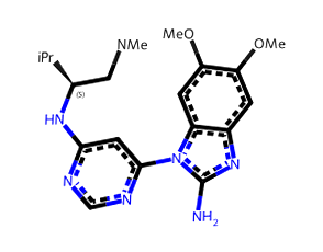 CNC[C@@H](Nc1cc(-n2c(N)nc3cc(OC)c(OC)cc32)ncn1)C(C)C